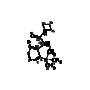 CC(C)(C)c1cccc(F)c1NC(=O)N1CCC1